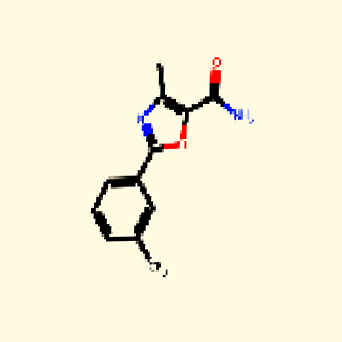 Cc1nc(-c2cccc(C(F)(F)F)c2)oc1C(N)=O